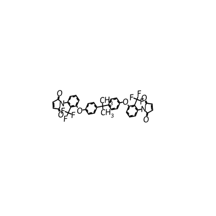 CC(C)(c1ccc(Oc2cccc(N3C(=O)C=CC3=O)c2C(F)(F)F)cc1)c1ccc(Oc2cccc(N3C(=O)C=CC3=O)c2C(F)(F)F)cc1